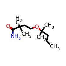 CCCC(C)(C)OCCC(C)(C)C(N)=O